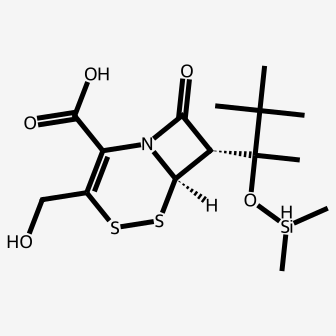 C[SiH](C)OC(C)([C@H]1C(=O)N2C(C(=O)O)=C(CO)SS[C@H]12)C(C)(C)C